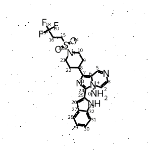 N[N+]12C=CN=CC1=C(C1CCN(S(=O)(=O)CCC(F)(F)F)CC1)N=C2c1cc2ccccc2[nH]1